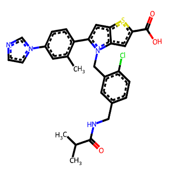 Cc1cc(-n2ccnc2)ccc1-c1cc2sc(C(=O)O)cc2n1Cc1cc(CNC(=O)C(C)C)ccc1Cl